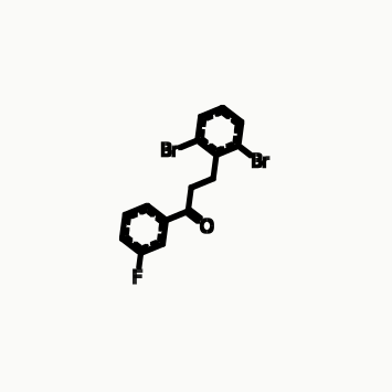 O=C(CCc1c(Br)cccc1Br)c1cccc(F)c1